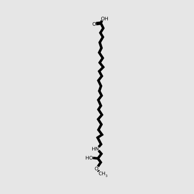 COCC(O)CNCCCCCCCCCCCCCCCCCCCCCCCCCC(=O)O